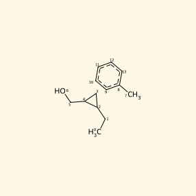 CCC1CC1CO.Cc1ccccc1